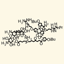 CCCNC(=N)NCCCO[C@@H]1CC(C(=O)N2C[C@H](OCCCNC(=N)N)C[C@H]2C(=O)N2C[C@H](OCC(C)C)CC2C(N)=O)N(C(=O)[C@@H]2C[C@@H](OCC(C)C)CN2C(=O)CCC(=O)CCCSSCCCC(=O)OC[C@H]2O[C@H](O[C@@H]3[C@@H](O)[C@H](O[C@H]4O[C@H](CN)[C@@H](O)[C@H](O)[C@H]4O)[C@@H](N)C[C@H]3N)[C@H](O)[C@@H](N)[C@@H]2O)C1